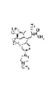 COc1cc2c(cc1OC)C(c1ccc(N3CCN(C)CC3)cc1)=CN(C(N)=O)C(C)C2